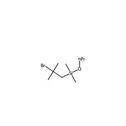 CCCO[Si](C)(C)CC(C)(C)Br